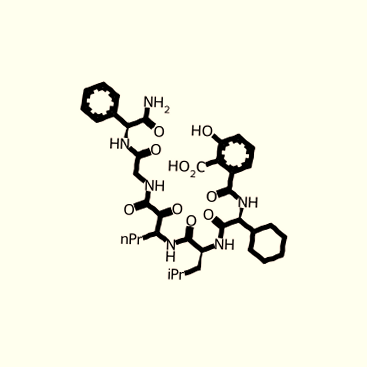 CCCC(NC(=O)[C@H](CC(C)C)NC(=O)[C@@H](NC(=O)c1cccc(O)c1C(=O)O)C1CCCCC1)C(=O)C(=O)NCC(=O)N[C@H](C(N)=O)c1ccccc1